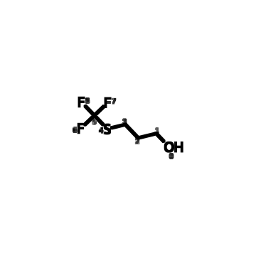 OCCCSC(F)(F)F